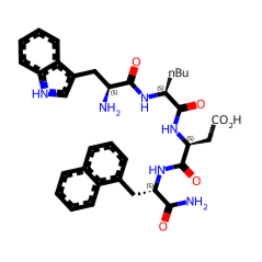 CCCC[C@H](NC(=O)[C@@H](N)Cc1c[nH]c2ccccc12)C(=O)N[C@@H](CC(=O)O)C(=O)N[C@@H](Cc1cccc2ccccc12)C(N)=O